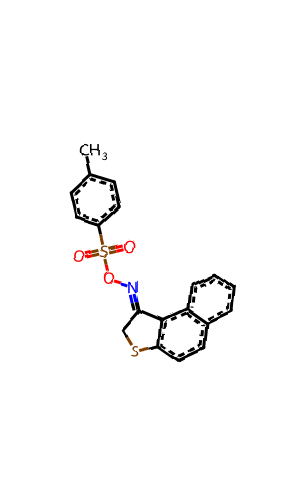 Cc1ccc(S(=O)(=O)O/N=C2\CSc3ccc4ccccc4c32)cc1